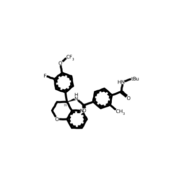 Cc1cc(C(=O)N[C@]2(c3ccc(OC(F)(F)F)c(F)c3)CCOc3cccnc32)ccc1C(=O)NC(C)(C)C